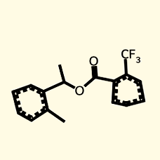 Cc1ccccc1C(C)OC(=O)c1ccccc1C(F)(F)F